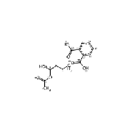 CCCC(O)OC(C)=O.O=C(O)c1ccccc1C(=O)O